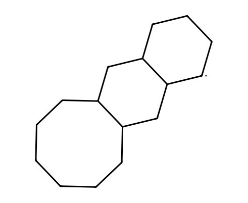 [CH]1CCCC2CC3CCCCCCC3CC12